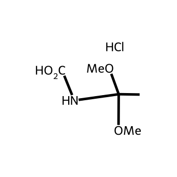 COC(C)(NC(=O)O)OC.Cl